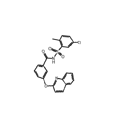 Cc1ccc(Cl)cc1S(=O)(=O)NC(=O)c1cccc(Oc2ccc3ccccc3n2)c1